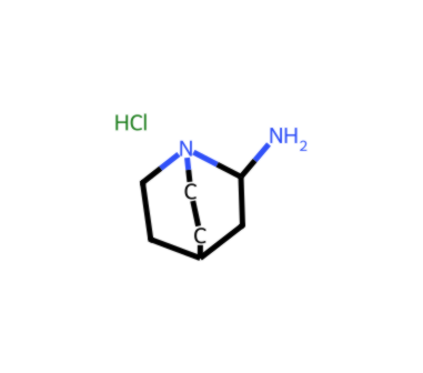 Cl.NC1CC2CCN1CC2